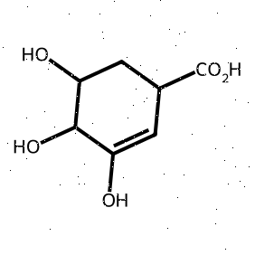 O=C(O)C1C=C(O)C(O)C(O)C1